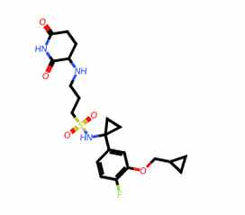 O=C1CCC(NCCCS(=O)(=O)NC2(c3ccc(F)c(OCC4CC4)c3)CC2)C(=O)N1